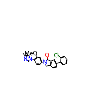 COc1cc(N2Cc3ccc(-c4ccccc4Cl)cc3C2=O)ccc1-n1cnc(C)c1